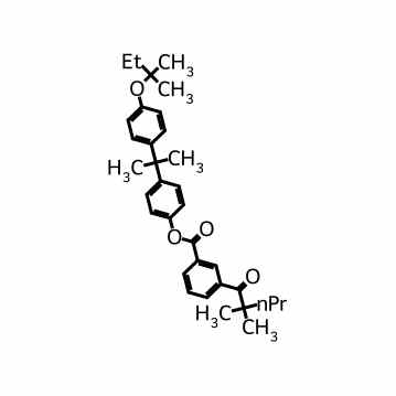 CCCC(C)(C)C(=O)c1cccc(C(=O)Oc2ccc(C(C)(C)c3ccc(OC(C)(C)CC)cc3)cc2)c1